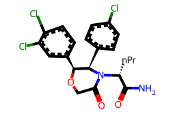 CCC[C@H](C(N)=O)N1C(=O)CO[C@@H](c2ccc(Cl)c(Cl)c2)[C@H]1c1ccc(Cl)cc1